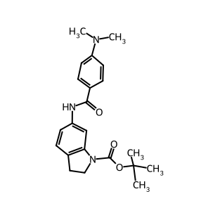 CN(C)c1ccc(C(=O)Nc2ccc3c(c2)N(C(=O)OC(C)(C)C)CC3)cc1